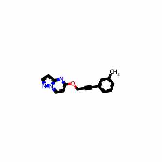 Cc1cccc(C#CCOc2ccn3nccc3n2)c1